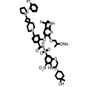 COC(C)COc1nc2[nH]cc(F)c2cc1Oc1cc(N2CCC3(CC2)CC(N2CCC[C@@H]2c2ccccc2C(C)C)C3)ccc1C(=O)NS(=O)(=O)c1cc2c(c([N+](=O)[O-])c1)N[C@@H](C1CCC(C)(O)CC1)CO2